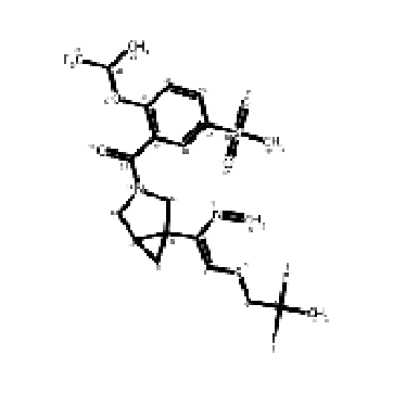 C=N/C(=C\SCC(C)(F)F)C12CC1CN(C(=O)c1cc(S(C)(=O)=O)ccc1OC(C)C(F)(F)F)C2